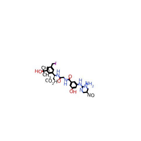 CC(C)(O)c1cc(CI)cc([C@H](CC(=O)O)NC(=O)CNC(=O)c2cc(O)cc(NC3=NCC(N=O)CN3N)c2)c1